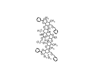 CCC1O[C@@H](O[C@@H]2C(CC)O[C@H](F)C(O[C@@H]3OC(CC)[C@@H](O[C@@H]4OC(COCc5ccccc5)[C@H](C)[C@H](C)C4OC(=O)c4ccccc4)[C@@H](C)C3NC(=O)OCC(Cl)(Cl)Cl)[C@H]2C)C(C)[C@@H](C)[C@@H]1O[C@@H]1OC(COCc2ccccc2)[C@H](C)[C@H](C)C1OC(=O)c1ccccc1